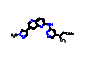 COCC(C)c1cnnc(Nc2ccc3ncc(-c4cnn(C)c4)cc3n2)c1